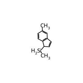 C[SiH2]C1C=Cc2cc(C)ccc21